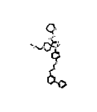 COCCN1CCC(C(=O)NOC2CCCCO2)([S+]([O-])c2ccc(OCCCc3cccc(-c4ccccc4)c3)cc2)CC1